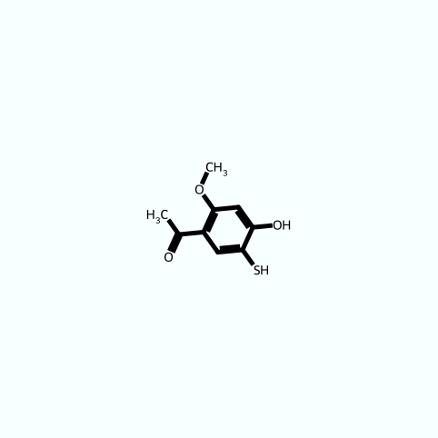 COc1cc(O)c(S)cc1C(C)=O